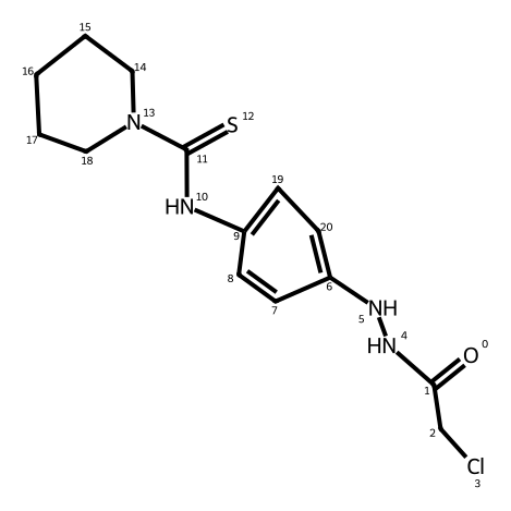 O=C(CCl)NNc1ccc(NC(=S)N2CCCCC2)cc1